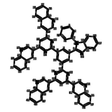 c1ccc(-n2c(-c3cc(-c4nc(-c5cnc6ccccc6c5)cc(-c5cnc6ccccc6c5)n4)cc(-c4nc(-c5cnc6ccccc6c5)cc(-c5cnc6ccccc6c5)n4)c3)nc3ccccc32)cc1